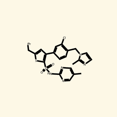 Cc1cnc(NS(=O)(=O)c2sc(CC(C)C)cc2-c2ccc(Cn3ccnc3C)c(Cl)c2)nc1